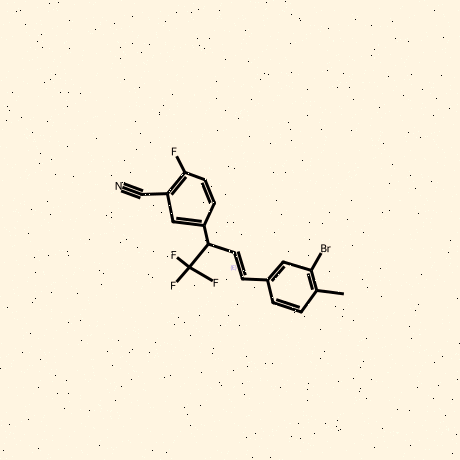 Cc1ccc(/C=C/C(c2ccc(F)c(C#N)c2)C(F)(F)F)cc1Br